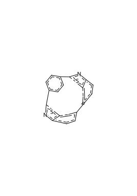 c1cc2nc3sc2cc1-c1ccc2nc(sc2c1)-c1ccc-3cc1